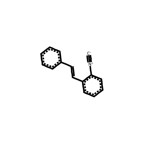 [C-]#[N+]c1ccccc1C=Cc1ccccc1